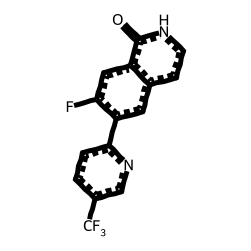 O=c1[nH]ccc2cc(-c3ccc(C(F)(F)F)cn3)c(F)cc12